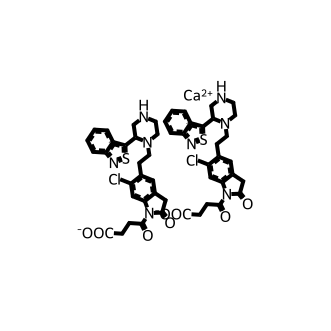 O=C([O-])CCC(=O)N1C(=O)Cc2cc(CCN3CCNCC3c3snc4ccccc34)c(Cl)cc21.O=C([O-])CCC(=O)N1C(=O)Cc2cc(CCN3CCNCC3c3snc4ccccc34)c(Cl)cc21.[Ca+2]